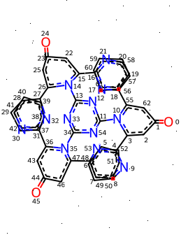 O=c1cc(-c2ccccn2)n(-c2nc(-n3c(-c4ccccn4)cc(=O)cc3-c3ccccn3)nc(-n3c(-c4ccccn4)cc(=O)cc3-c3ccccn3)n2)c(-c2ccccn2)c1